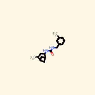 O=C(NCc1cccc(C(F)(F)F)c1)NC1CC(C(F)(F)F)C2CC1C2